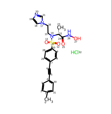 Cc1ccc(C#Cc2ccc(S(=O)(=O)N(CCn3ccnc3)[C@H](C)C(=O)NO)cc2)cc1.Cl